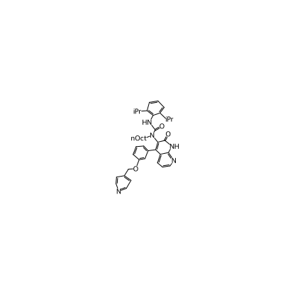 CCCCCCCCN(C(=O)Nc1c(C(C)C)cccc1C(C)C)c1c(-c2cccc(OCc3ccncc3)c2)c2cccnc2[nH]c1=O